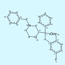 OC(Cc1cc(F)ccc1F)(c1ccccc1)C1CN(Cc2ccccc2)CCO1